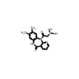 CCCN(CCC)CC(=O)N1c2cc(C)c(C)cc2NC(=S)c2cccnc21